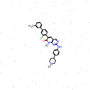 CCN1CCC(c2ccc(Nc3ncc4cc(-c5ccc(-c6cccc(C)c6)cc5Cl)c(=O)n(CC)c4n3)cc2)CC1